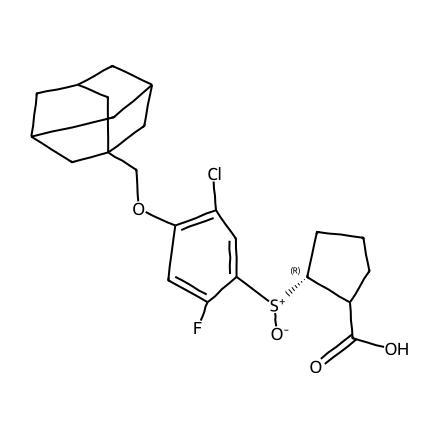 O=C(O)C1CCC[C@H]1[S+]([O-])c1cc(Cl)c(OCC23CC4CC(CC(C4)C2)C3)cc1F